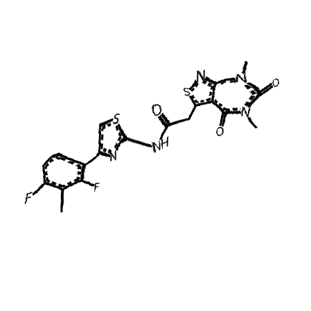 Cc1c(F)ccc(-c2csc(NC(=O)Cc3snc4c3c(=O)n(C)c(=O)n4C)n2)c1F